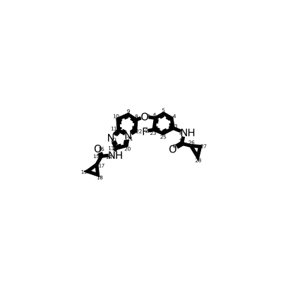 O=C(Nc1ccc(Oc2ccc3nc(NC(=O)C4CC4)cn3c2)c(F)c1)C1CC1